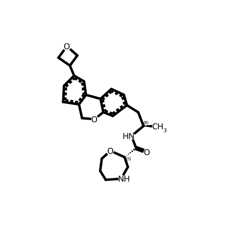 C[C@H](Cc1ccc2c(c1)OCc1ccc(C3COC3)cc1-2)NC(=O)[C@@H]1CNCCCO1